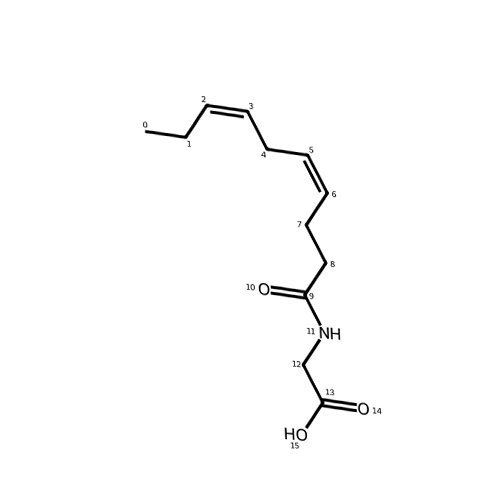 CC/C=C\C/C=C\CCC(=O)NCC(=O)O